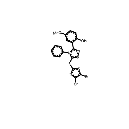 COc1ccc(O)c(-c2nnc(Sc3nc(Br)c(Br)s3)n2-c2ccccc2)c1